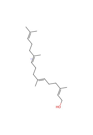 CC(C)=CCC/C(C)=C/CCC(C)=CCCC(C)=CCO